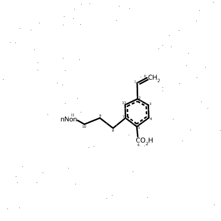 C=Cc1ccc(C(=O)O)c(CCCCCCCCCCCC)c1